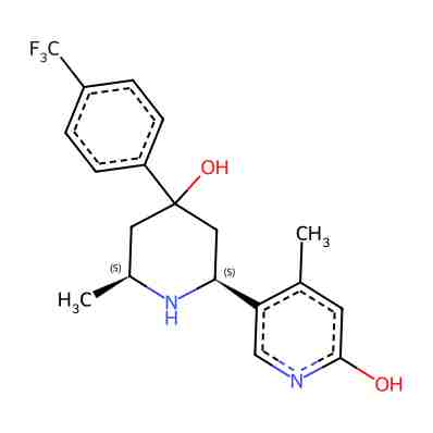 Cc1cc(O)ncc1[C@@H]1CC(O)(c2ccc(C(F)(F)F)cc2)C[C@H](C)N1